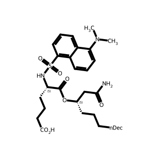 CCCCCCCCCCCCC[C@@H](CC(N)=O)OC(=O)[C@H](CCCC(=O)O)NS(=O)(=O)c1cccc2c(N(C)C)cccc12